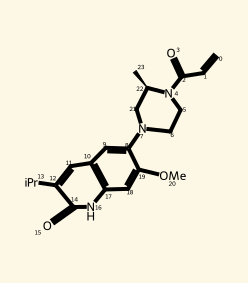 C=CC(=O)N1CCN(c2cc3cc(C(C)C)c(=O)[nH]c3cc2OC)C[C@H]1C